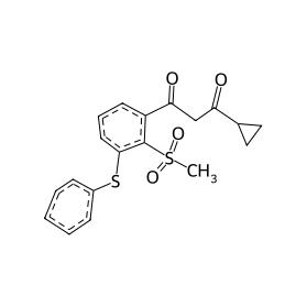 CS(=O)(=O)c1c(Sc2ccccc2)cccc1C(=O)CC(=O)C1CC1